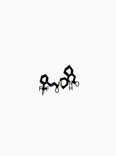 O=C1Cc2ccccc2C2(CCN(C(=O)/C=C/c3ccccc3C(F)(F)F)CC2)N1